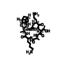 CCCCCCCCCC(=O)N[C@@H](CCN)C(=O)N[C@H](C(=O)N[C@@H](C)C(=O)N[C@@H](CCCCN)C(=O)N[C@@H](C)B1O[C@@H]2C[C@@H]3C[C@@H](C3(C)C)[C@]2(C)O1)[C@@H](C)O